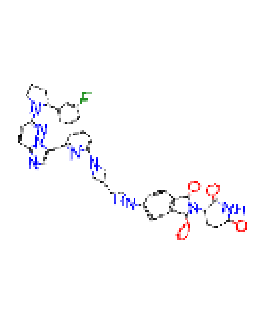 O=C1CCC(N2C(=O)c3ccc(NCCC4CN(c5cccc(-c6cnc7ccc(N8CCCC8c8cccc(F)c8)nn67)n5)C4)cc3C2=O)C(=O)N1